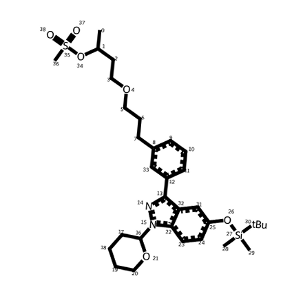 CC(CCOCCCc1cccc(-c2nn(C3CCCCO3)c3ccc(O[Si](C)(C)C(C)(C)C)cc23)c1)OS(C)(=O)=O